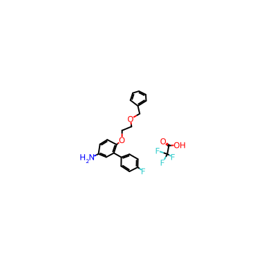 Nc1ccc(OCCOCc2ccccc2)c(-c2ccc(F)cc2)c1.O=C(O)C(F)(F)F